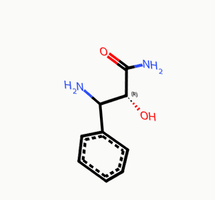 NC(=O)[C@H](O)C(N)c1ccccc1